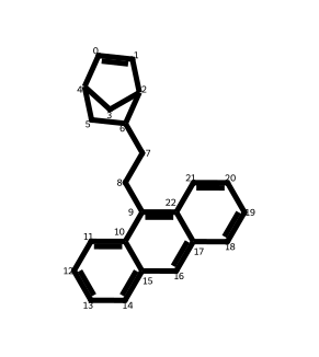 C1=CC2CC1CC2CCc1c2ccccc2cc2ccccc12